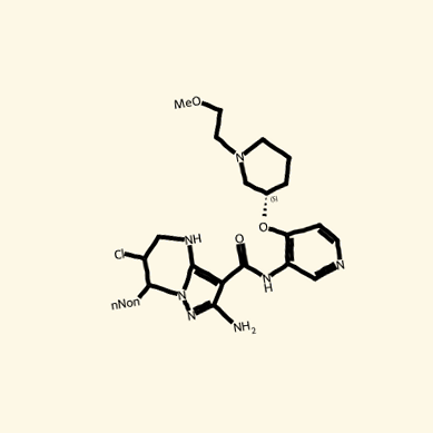 CCCCCCCCCC1C(Cl)CNc2c(C(=O)Nc3cnccc3O[C@H]3CCCN(CCOC)C3)c(N)nn21